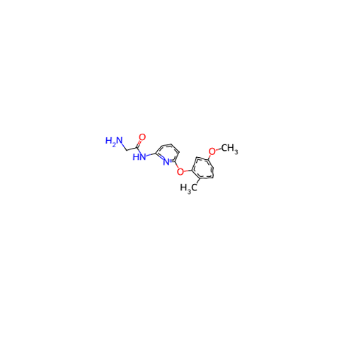 COc1ccc(C)c(Oc2cccc(NC(=O)CN)n2)c1